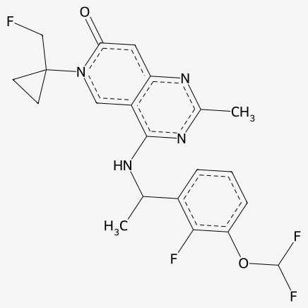 Cc1nc(NC(C)c2cccc(OC(F)F)c2F)c2cn(C3(CF)CC3)c(=O)cc2n1